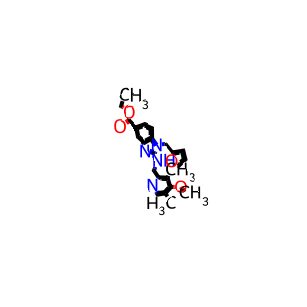 CCOC(=O)c1ccc2c(c1)nc(NCc1ncc(C)c(OC)c1C)n2Cc1ccco1